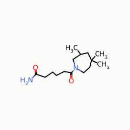 CC1CN(C(=O)CCCCC(N)=O)CCC(C)(C)C1